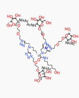 CC(=O)N[C@H]1[C@H](OCCOCCn2cc(CN(CCCC[C@@H](C(=O)NCCCCCCO)N(Cc3cn(CCOCCO[C@@H]4O[C@H](CO)[C@H](O)[C@H](O)[C@H]4NC(C)=O)nn3)Cc3cn(CCOCCO[C@@H]4O[C@H](CO)[C@H](O)[C@H](O)[C@H]4NC(C)=O)nn3)Cc3cn(CCOCCO[C@@H]4O[C@H](CO)[C@H](O)[C@H](O)[C@H]4NC(C)=O)nn3)nn2)O[C@H](CO)[C@H](O)[C@@H]1O